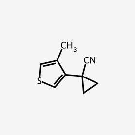 Cc1cscc1C1(C#N)CC1